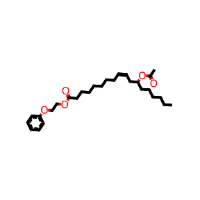 CCCCCCC(C/C=C\CCCCCCCC(=O)OCCOc1ccccc1)OC(C)=O